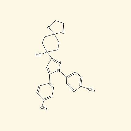 Cc1ccc(-c2cc(C3(O)CCC4(CC3)OCCO4)nn2-c2ccc(C)cc2)cc1